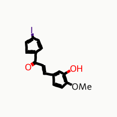 COc1ccc(C=CC(=O)c2ccc(I)cc2)cc1O